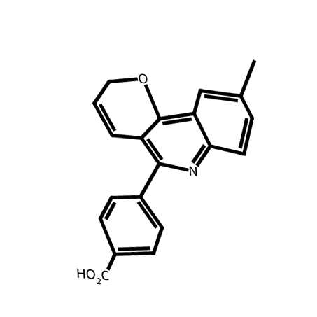 Cc1ccc2nc(-c3ccc(C(=O)O)cc3)c3c(c2c1)OCC=C3